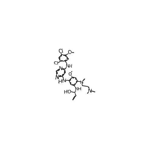 C=CC(O)Nc1cc(Nc2cc(Nc3cc(OC)c(Cl)cc3Cl)ncn2)c(OC)cc1N(C)CCN(C)C